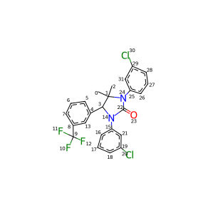 CC1(C)C(c2cccc(C(F)(F)F)c2)N(c2cccc(Cl)c2)C(=O)N1c1cccc(Cl)c1